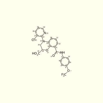 O=C(Nc1ccc(OC(F)(F)F)cc1)c1cccc2c1OC(C(=O)O)CN2c1ncccc1Cl